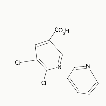 O=C(O)c1cnc(Cl)c(Cl)c1.c1ccncc1